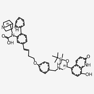 CC(C)(C)[Si](C)(C)O[C@@H](CNCc1ccc(OCCC=Cc2ccc(-c3ccccc3)c(N(C(=O)O)[C@H]3CN4CCC3CC4)c2)cc1)c1ccc(O)c2[nH]c(=O)ccc12